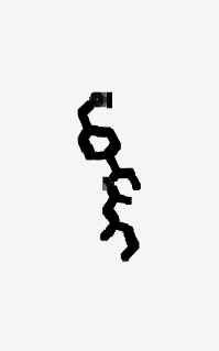 C\C=C/C(C)=C\C(C)=N\C(=C/C)c1ccc(CO)cc1